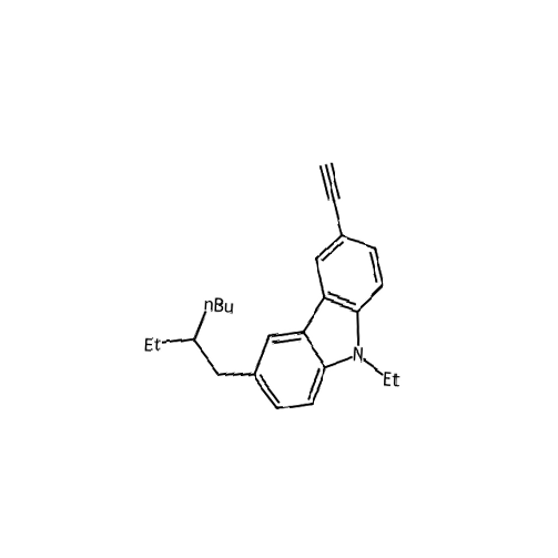 C#Cc1ccc2c(c1)c1cc(CC(CC)CCCC)ccc1n2CC